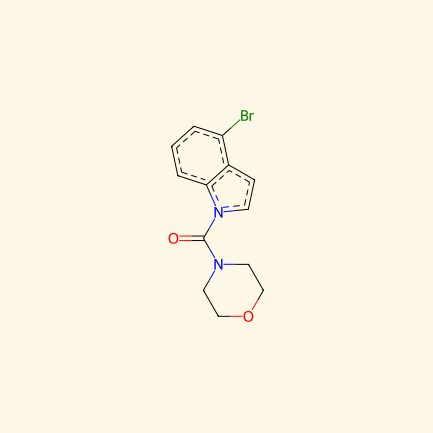 O=C(N1CCOCC1)n1ccc2c(Br)cccc21